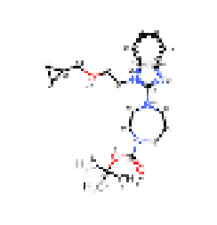 CC(C)(C)OC(=O)N1CCCN(c2nc3ccccc3n2CCOCC2CC2)CC1